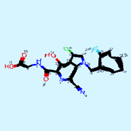 N#Cc1nc(C(=O)NCC(=O)O)c(O)c2c(Cl)cn(Cc3ccccc3F)c12